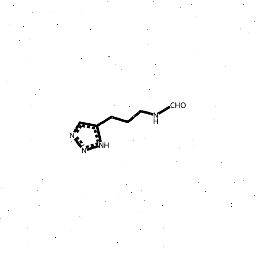 O=CNCCCc1cnn[nH]1